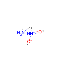 CN.O=[NH+][O-]